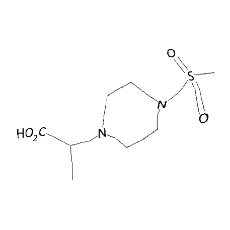 CC(C(=O)O)N1CCN(S(C)(=O)=O)CC1